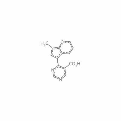 Cn1cc(-c2ncncc2C(=O)O)c2cccnc21